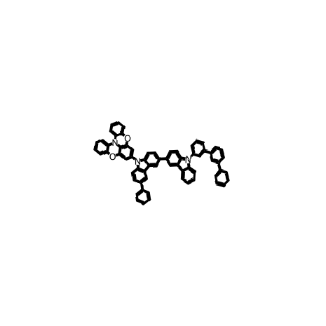 c1ccc(-c2cccc(-c3cccc(-n4c5ccccc5c5cc(-c6ccc7c(c6)c6cc(-c8ccccc8)ccc6n7-c6cc7c8c(c6)Oc6ccccc6N8c6ccccc6O7)ccc54)c3)c2)cc1